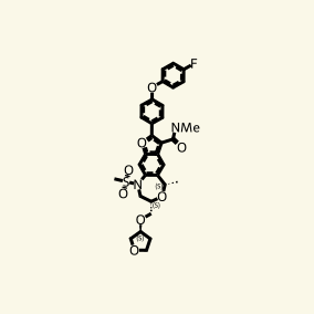 CNC(=O)c1c(-c2ccc(Oc3ccc(F)cc3)cc2)oc2cc3c(cc12)[C@H](C)O[C@H](CO[C@H]1CCOC1)CN3S(C)(=O)=O